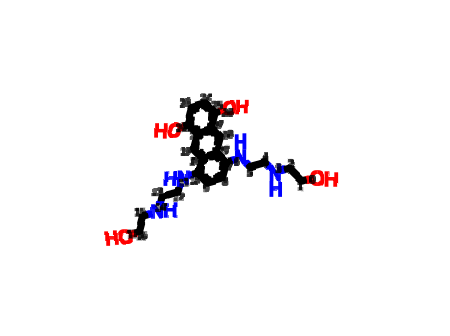 OCCNCCNc1ccc(NCCNCCO)c2cc3c(O)ccc(O)c3cc12